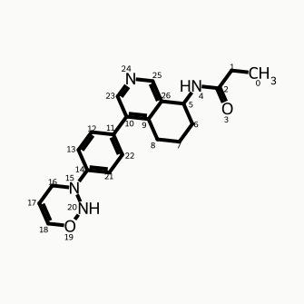 CCC(=O)NC1CCCc2c(-c3ccc(N4CC=CON4)cc3)cncc21